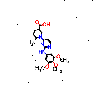 COc1cc(Nc2nccc(N3CC(C(=O)O)CCC3C)n2)cc(OC)c1OC